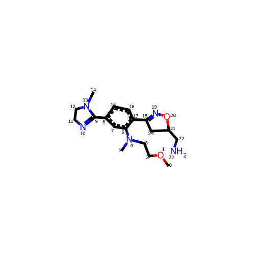 COCCN(C)c1cc(C2=NCCN2C)ccc1C1=NOC(CN)C1